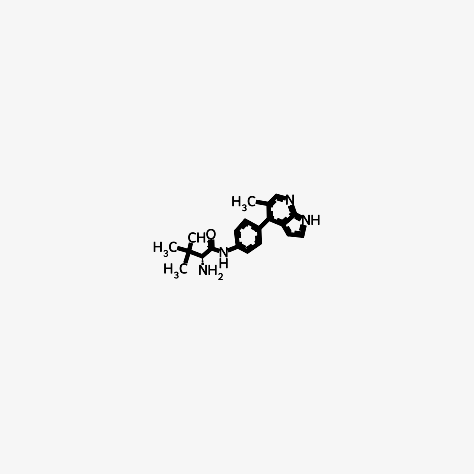 Cc1cnc2[nH]ccc2c1-c1ccc(NC(=O)[C@H](N)C(C)(C)C)cc1